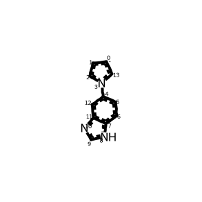 [c]1ccn(-c2ccc3[nH]cnc3c2)c1